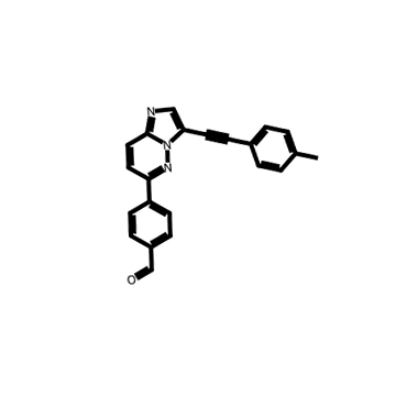 Cc1ccc(C#Cc2cnc3ccc(-c4ccc(C=O)cc4)nn23)cc1